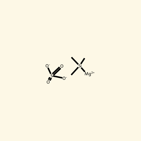 C[Si](C)(C)[Mg+2].O=S(=O)([O-])[O-]